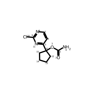 NC(=O)OC1(c2ccnc(Cl)n2)CCCC1